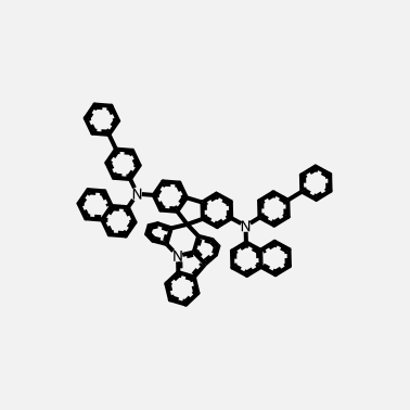 c1ccc(-c2ccc(N(c3ccc4c(c3)C3(c5cc(N(c6ccc(-c7ccccc7)cc6)c6cccc7ccccc67)ccc5-4)c4ccccc4-n4c5ccccc5c5cccc3c54)c3cccc4ccccc34)cc2)cc1